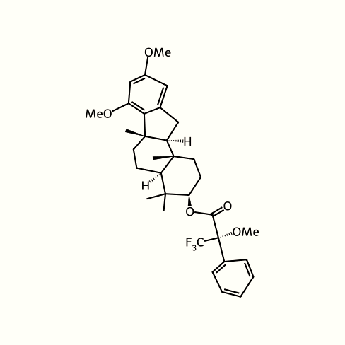 COc1cc2c(c(OC)c1)[C@@]1(C)CC[C@@H]3C(C)(C)[C@H](OC(=O)[C@@](OC)(c4ccccc4)C(F)(F)F)CC[C@@]3(C)[C@@H]1C2